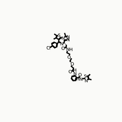 Cc1nc(NC(=O)c2ccccc2NC(=O)CCOCCOCCNC(=O)C[C@@H]2N=C(c3ccc(Cl)cc3)c3c(sc(C)c3C)-n3c(C)nnc32)sc1C